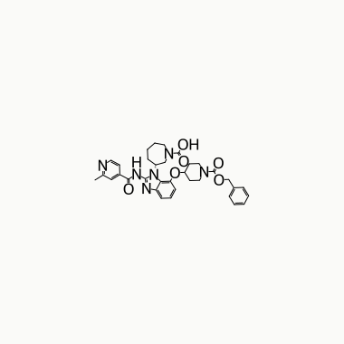 Cc1cc(C(=O)Nc2nc3cccc(OC4CCN(C(=O)OCc5ccccc5)CC4)c3n2[C@@H]2CCCCN(C(=O)O)C2)ccn1